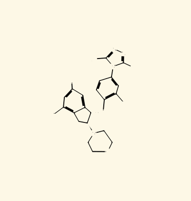 Cc1nnc(C)n1-c1ccc(O[C@H]2c3cc(Cl)cc(Cl)c3C[C@@H]2N2CCOCC2)c(F)c1